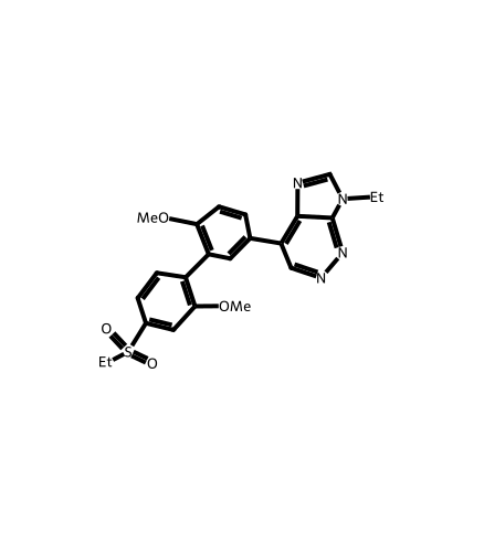 CCn1cnc2c(-c3ccc(OC)c(-c4ccc(S(=O)(=O)CC)cc4OC)c3)cnnc21